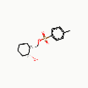 Cc1ccc(S(=O)(=O)OC[C@H]2CCCC[C@H]2O)cc1